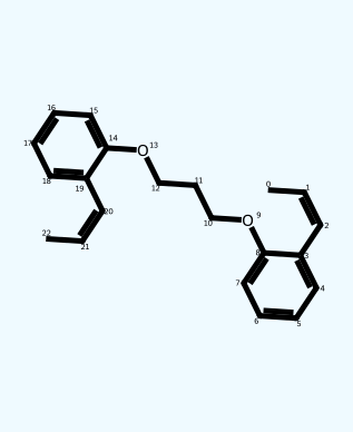 C/C=C\c1ccccc1OCCCOc1ccccc1/C=C\C